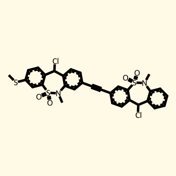 CSc1ccc2c(c1)S(=O)(=O)N(C)c1cc(C#Cc3ccc4c(c3)S(=O)(=O)N(C)c3ccccc3C4Cl)ccc1C2Cl